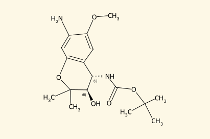 COc1cc2c(cc1N)OC(C)(C)[C@H](O)[C@H]2NC(=O)OC(C)(C)C